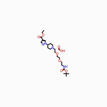 CCOC(=O)c1cnn(C2CCN(CCOCCOCCNC(=O)OC(C)(C)C)CC2)c1.O=CO